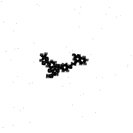 Cc1cc(CCSc2ccc(C(=O)NC3(CC(=O)NO)CCN(C(=O)OC(C)(C)C)CC3)cc2)c2ccccc2n1